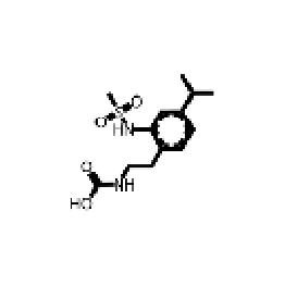 CC(C)c1ccc(CCNC(=O)O)c(NS(C)(=O)=O)c1